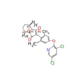 Cc1cc(Oc2ncc(Cl)cc2Cl)cc(C)c1C1=C(O)[C@H]2[C@@H](C1=O)[C@@H]1CC[C@H]2O1